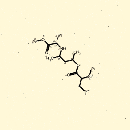 CC(C)CC(NC(C)C)C(=O)OC(C)CC(C)N[C@H](C(=O)OC(C)C)C(C)C